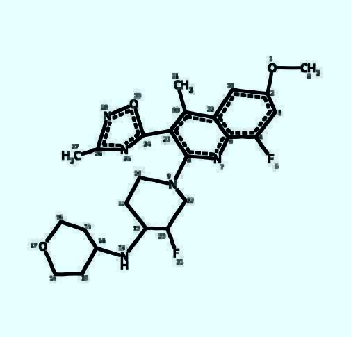 COc1cc(F)c2nc(N3CCC(NC4CCOCC4)C(F)C3)c(-c3nc(C)no3)c(C)c2c1